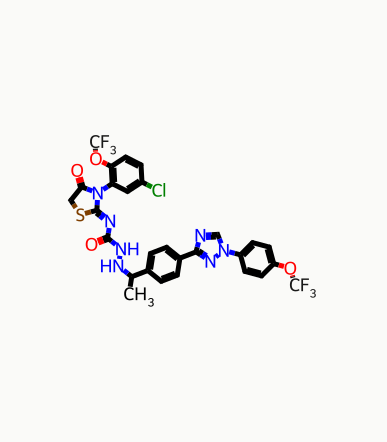 CC(NNC(=O)/N=C1\SCC(=O)N1c1cc(Cl)ccc1OC(F)(F)F)c1ccc(-c2ncn(-c3ccc(OC(F)(F)F)cc3)n2)cc1